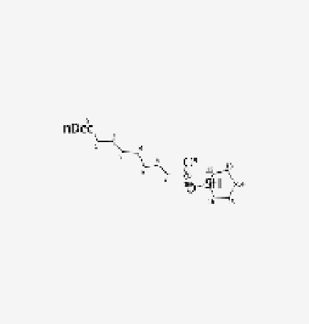 CCCCCCCCCCCCCCCCCC(=O)O[SH]1CCCCC1